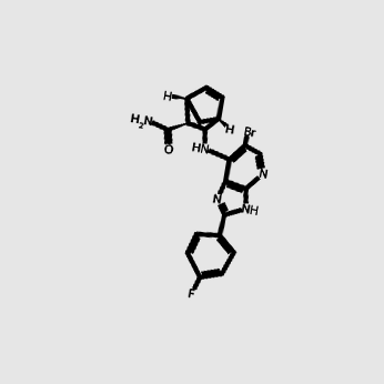 NC(=O)[C@@H]1C(Nc2c(Br)cnc3[nH]c(-c4ccc(F)cc4)nc23)[C@H]2C=C[C@@H]1C2